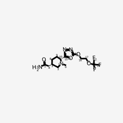 CN1C[C@H](CC(N)=O)CC[C@@H]1c1nnc(OCCOC(F)(F)F)o1